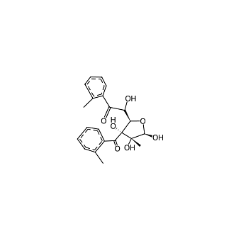 Cc1ccccc1C(=O)C(O)[C@H]1O[C@@H](O)[C@](C)(O)[C@@]1(O)C(=O)c1ccccc1C